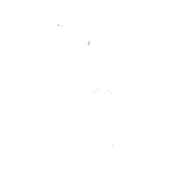 CC(C)(CCO)Oc1ccc(N2C(=O)c3cccc4c(NCCN=O)ccc(c34)C2=O)cc1